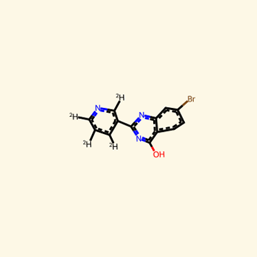 [2H]c1nc([2H])c(-c2nc(O)c3ccc(Br)cc3n2)c([2H])c1[2H]